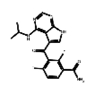 CC(C)Nc1ncnc2[nH]cc(C(=O)c3c(F)ccc(C(N)=O)c3F)c12